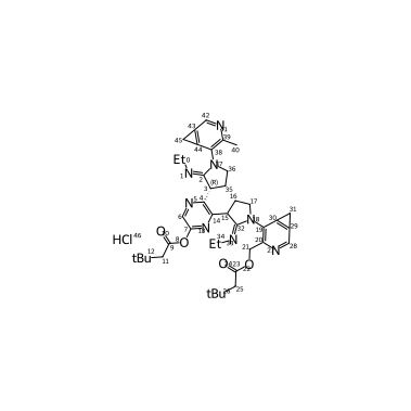 CCN=C1[C@@H](c2ncc(OC(=O)CC(C)(C)C)nc2C2CCN(c3c(COC(=O)CC(C)(C)C)ncc4c3C4)C2=NCC)CCN1c1c(C)ncc2c1C2.Cl